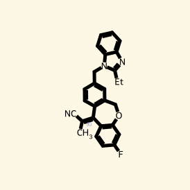 CCc1nc2ccccc2n1Cc1ccc2c(c1)COc1cc(F)ccc1/C2=C(\C)C#N